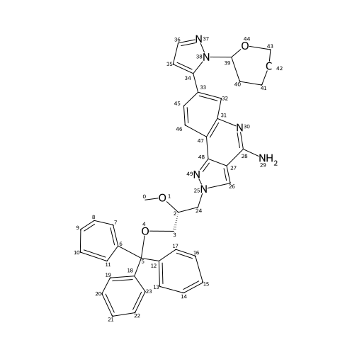 CO[C@@H](COC(c1ccccc1)(c1ccccc1)c1ccccc1)Cn1cc2c(N)nc3cc(-c4ccnn4C4CCCCO4)ccc3c2n1